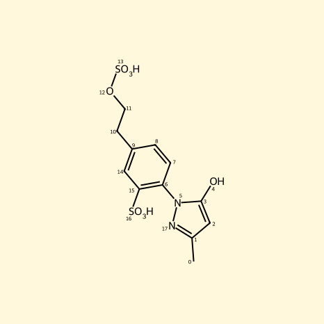 Cc1cc(O)n(-c2ccc(CCOS(=O)(=O)O)cc2S(=O)(=O)O)n1